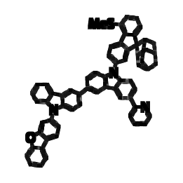 CSc1cccc2c1-c1ccc(-n3c4ccc(-c5ccc6c(c5)c5ccccc5n6-c5ccc6c(c5)oc5ccccc56)cc4c4cc(-c5ccccn5)ccc43)cc1C21C2CC3CC(C2)CC1C3